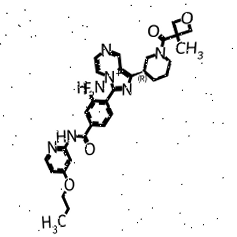 CCCOc1ccnc(NC(=O)c2ccc(C3=NC([C@@H]4CCCN(C(=O)C5(C)COC5)C4)=C4C=NC=C[N+]34N)c(F)c2)c1